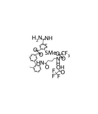 CSc1sc(C(=N)N)cc1S(=O)(=O)c1cccc(-c2c(C)cccc2NC(=O)CCCNS(=O)(=O)C(F)(F)F)c1.O=C(O)C(F)(F)F